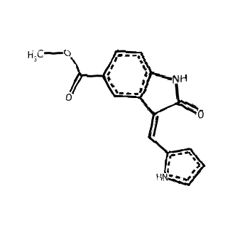 COC(=O)c1ccc2c(c1)C(=Cc1ccc[nH]1)C(=O)N2